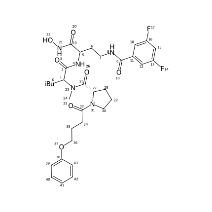 CCC(C)C(C(=O)NC(CCNC(=O)c1cc(F)cc(F)c1)C(=O)NO)N(C)C(=O)[C@@H]1CCCN1C(=O)CCCOc1ccccc1